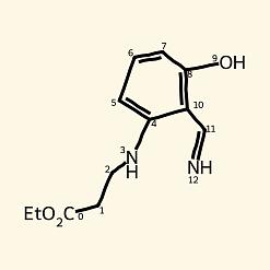 CCOC(=O)CCNc1cccc(O)c1C=N